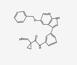 N=CC1(C(=O)Nc2cccc(-c3c[nH]c4ncc(OCc5ccccc5)cc34)c2)CC1